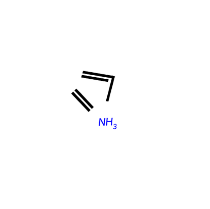 C=C.C=CC.N